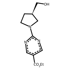 CCOC(=O)c1cnc(N2CC[C@@H](CO)C2)nc1